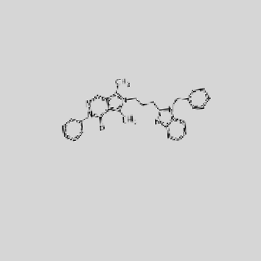 Cc1c2cnn(-c3ccccc3)c(=O)c2c(C)n1CCCc1nc2ccccc2n1Cc1ccccc1